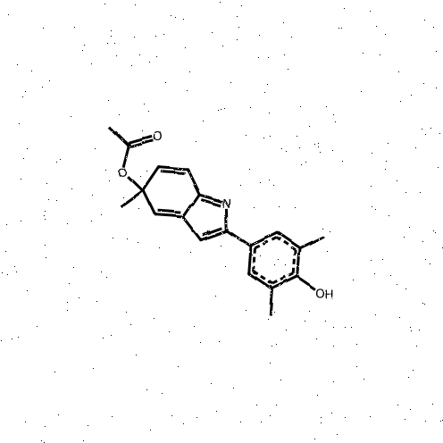 CC(=O)OC1(C)C=CC2=NC(c3cc(C)c(O)c(C)c3)=CC2=C1